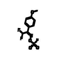 COc1ccc(C(=NOS(=O)(=O)F)C(F)F)cc1